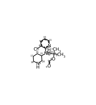 CC(C)(C)OC=O.Clc1cccnc1NC1CCCNC1